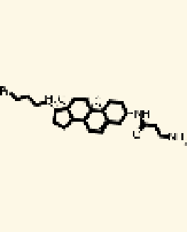 CC(C)CCCC[C@H]1CCC2C3CC=C4C[C@@H](NC(=O)CCN)CC[C@]4(C)C3CC[C@@]21C